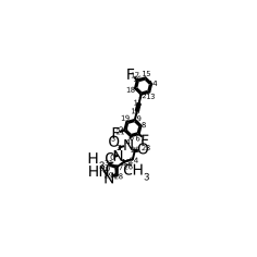 CN1C(=O)N(c2c(F)cc(C#Cc3cccc(F)c3)cc2F)C(=O)C[C@@]1(C)c1cn[nH]c1